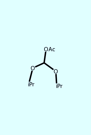 CC(=O)OC(OC(C)C)OC(C)C